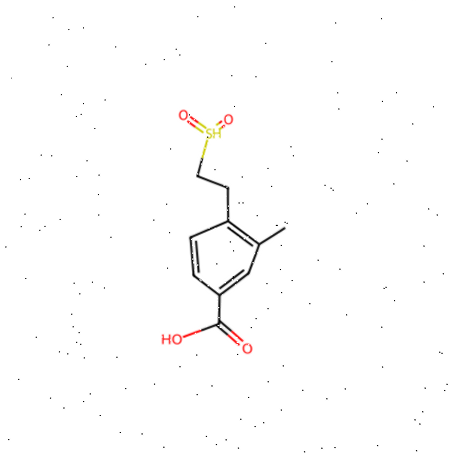 Cc1cc(C(=O)O)ccc1CC[SH](=O)=O